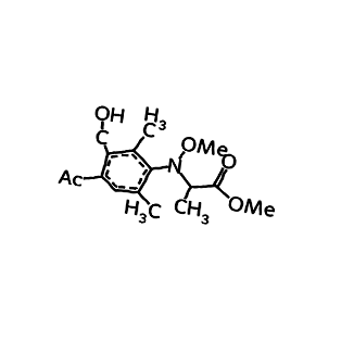 COC(=O)C(C)N(OC)c1c(C)cc(C(C)=O)c(CO)c1C